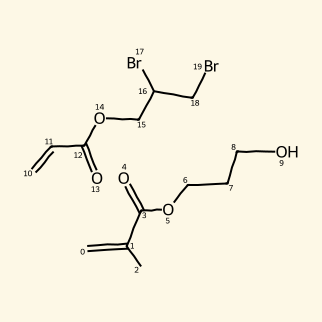 C=C(C)C(=O)OCCCO.C=CC(=O)OCC(Br)CBr